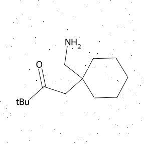 CC(C)(C)C(=O)CC1(CN)CCCCC1